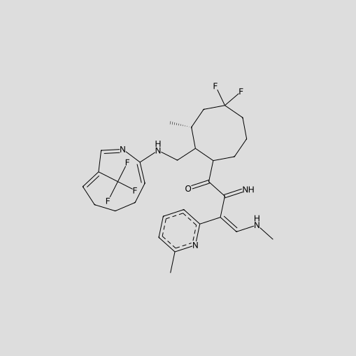 CN/C=C(\C(=N)C(=O)C1CCCC(F)(F)C[C@@H](C)C1CNC1=C/CCC/C=C(C(F)(F)F)/C=N\1)c1cccc(C)n1